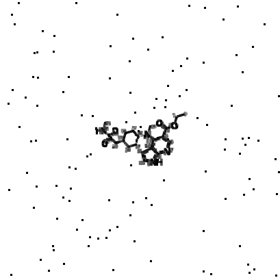 CCOC(=O)c1cnc2[nH]ccc2c1N(C)[C@H]1CC[C@H](CS(=O)(=O)NC)CC1